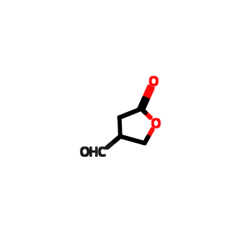 O=CC1COC(=O)C1